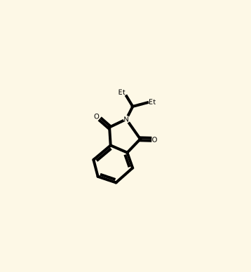 CC[C](CC)N1C(=O)c2ccccc2C1=O